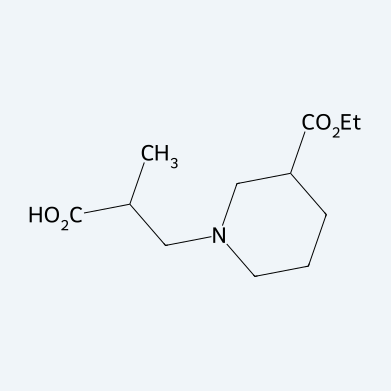 CCOC(=O)C1CCCN(CC(C)C(=O)O)C1